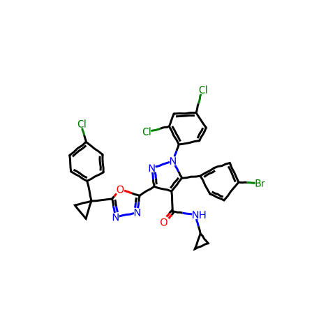 O=C(NC1CC1)c1c(-c2nnc(C3(c4ccc(Cl)cc4)CC3)o2)nn(-c2ccc(Cl)cc2Cl)c1-c1ccc(Br)cc1